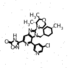 C[C@@H]1[C@@H](C)OCCN1c1nc2cc(-c3noc(=O)[nH]3)nc(-c3cncc(Cl)c3)c2n1C[C@H]1CC[C@H](C)CC1